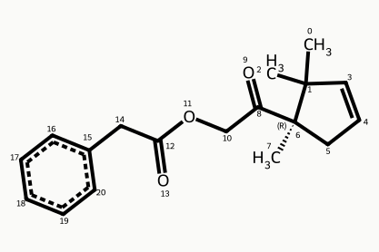 CC1(C)C=CC[C@@]1(C)C(=O)COC(=O)Cc1ccccc1